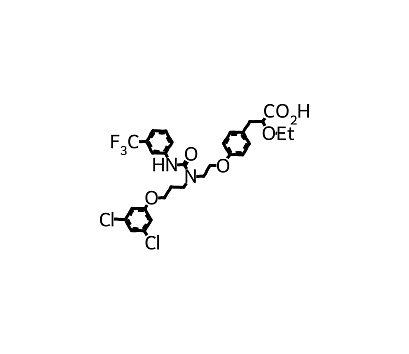 CCOC(Cc1ccc(OCCN(CCCOc2cc(Cl)cc(Cl)c2)C(=O)Nc2cccc(C(F)(F)F)c2)cc1)C(=O)O